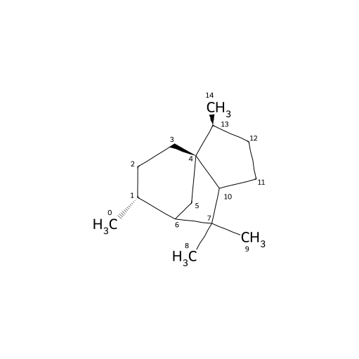 C[C@@H]1CC[C@]23CC1C(C)(C)C2CC[C@@H]3C